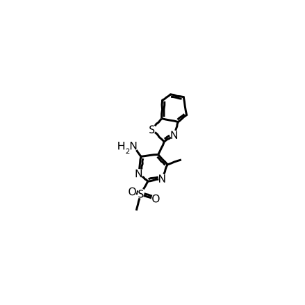 Cc1nc(S(C)(=O)=O)nc(N)c1-c1nc2ccccc2s1